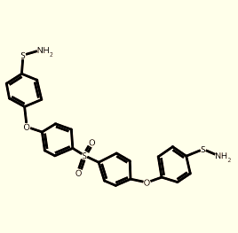 NSc1ccc(Oc2ccc(S(=O)(=O)c3ccc(Oc4ccc(SN)cc4)cc3)cc2)cc1